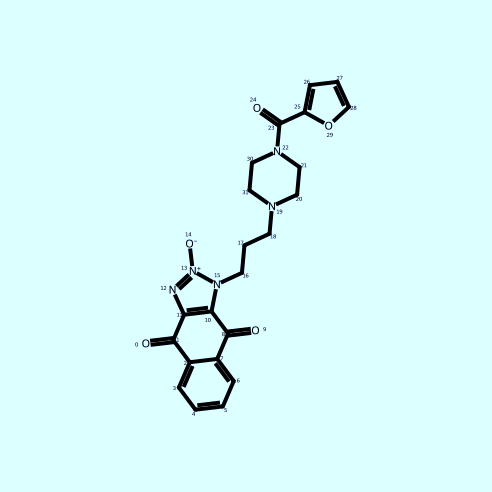 O=C1c2ccccc2C(=O)c2c1n[n+]([O-])n2CCCN1CCN(C(=O)c2ccco2)CC1